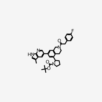 Cc1c[nH]c2ncc(-c3cc4c(c(C5CCCN5C(=O)OC(C)(C)C)c3)CCN(C(=O)Cc3ccc(F)cc3)C4)cc12